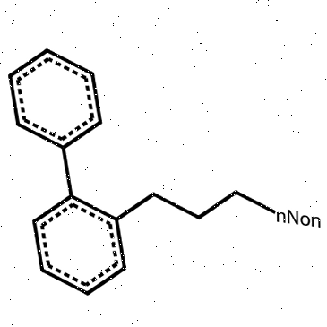 CCCCCCCCCCCCc1ccccc1-c1ccccc1